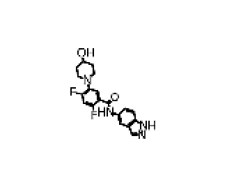 O=C(Nc1ccc2[nH]ncc2c1)c1cc(N2CCC(O)CC2)c(F)cc1F